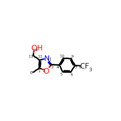 Cc1oc(-c2ccc(C(F)(F)F)cc2)nc1CO